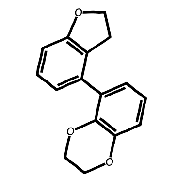 c1cc2c(c(-c3cccc4c3OCCO4)c1)CCO2